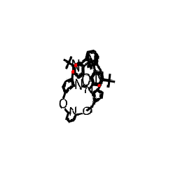 CC(C)(C)c1cc(N2C(=O)N(c3cc(C(C)(C)C)cc(C(C)(C)C)c3)c3cc4ccc3C/N=C/c3cccc(n3)/C=N/Cc3ccc(cc32)COCc2cccc(n2)COC4)cc(C(C)(C)C)c1